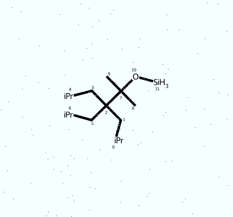 CC(C)CC(CC(C)C)(CC(C)C)C(C)(C)O[SiH3]